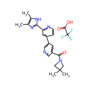 Cc1nc(-c2cc(-c3cncc(C(=O)N4CC(C)(C)C4)c3)ccn2)[nH]c1C.O=C(O)C(F)(F)F